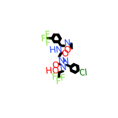 O=C(Cn1nc(-c2ccc(Cl)cc2)n(C[C@H](O)C(F)(F)F)c1=O)NC(c1cccc(C(F)(F)F)c1)c1ncco1